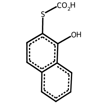 O=C(O)Sc1ccc2ccccc2c1O